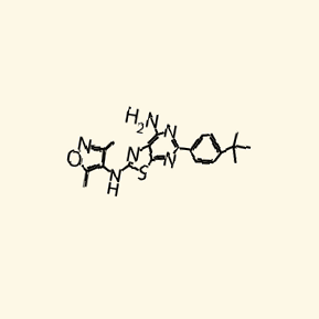 Cc1noc(C)c1Nc1nc2c(N)nc(-c3ccc(C(C)(C)C)cc3)nc2s1